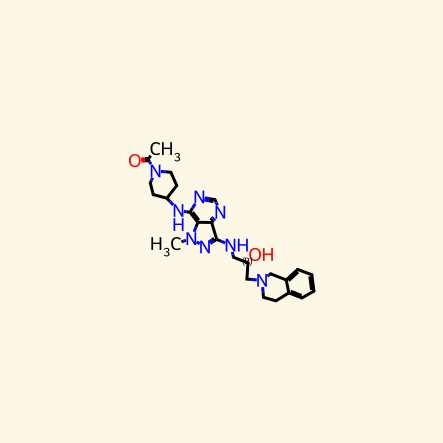 CC(=O)N1CCC(Nc2ncnc3c(NC[C@@H](O)CN4CCc5ccccc5C4)nn(C)c23)CC1